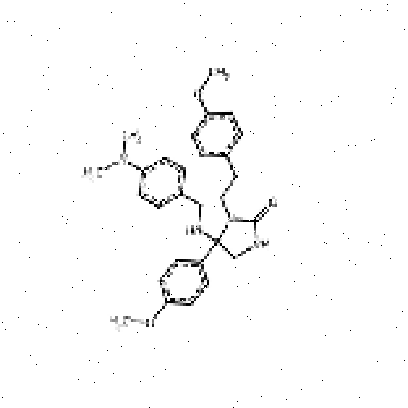 COc1ccc(CCN2C(=O)NCC2(NCc2ccc(N(C)C)cc2)c2ccc(OC)cc2)cc1